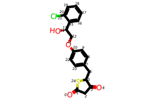 O=C1CC(=O)C(Cc2ccc(OC[C@@H](O)c3ccccc3Cl)cc2)S1